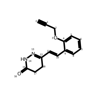 C#CCOc1ccccc1C=CC1=NNC(=O)CC1